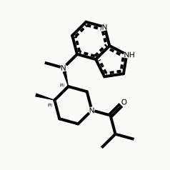 CC(C)C(=O)N1CC[C@@H](C)[C@@H](N(C)c2ccnc3[nH]ccc23)C1